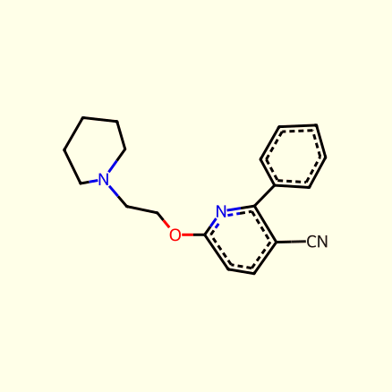 N#Cc1ccc(OCCN2CCCCC2)nc1-c1ccccc1